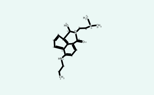 CCCNc1ccc2c3c(cccc13)C(O)N(CCN(C)C)C2=O